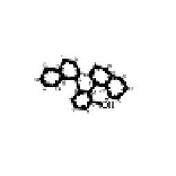 Oc1cccc(-c2cccc3ccccc23)c1-c1cccc2ccccc12